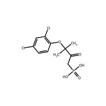 CC(C)(Oc1ccc(Cl)cc1Cl)C(=O)CP(=O)(O)O